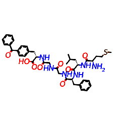 CSCC[C@H](N)C(=O)N[C@@H](CC(C)C)C(=O)N[C@@H](Cc1ccccc1)C(=O)NCC(=O)NCC(=O)N[C@@H](Cc1ccc(C(=O)c2ccccc2)cc1)C(=O)O